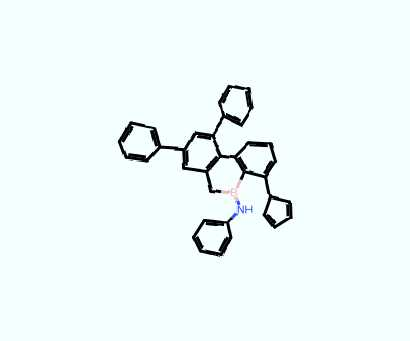 C1=CC(c2cccc3c2B(Nc2ccccc2)Cc2cc(-c4ccccc4)cc(-c4ccccc4)c2-3)C=C1